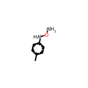 Cc1cc[c]([AlH][O][AlH2])cc1